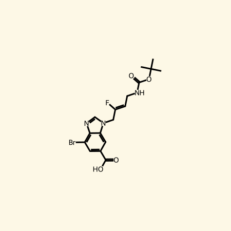 CC(C)(C)OC(=O)NC/C=C(\F)Cn1cnc2c(Br)cc(C(=O)O)cc21